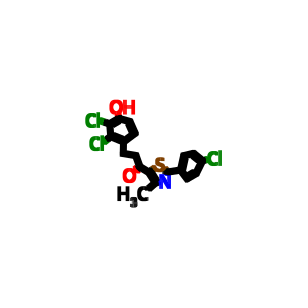 Cc1nc(-c2ccc(Cl)cc2)sc1C(=O)CCc1ccc(O)c(Cl)c1Cl